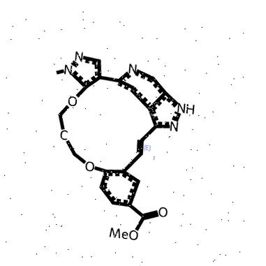 COC(=O)c1ccc2c(c1)/C=C/c1n[nH]c3cnc(cc13)-c1cnn(C)c1OCCCO2